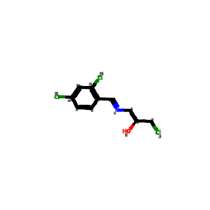 O[C@H](CCl)CN=Cc1ccc(Cl)cc1Cl